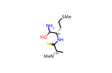 CN[C@@H](C)C(=S)N[C@@H](CCSC)C(N)O